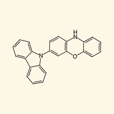 c1ccc2c(c1)Nc1ccc(-n3c4ccccc4c4ccccc43)cc1O2